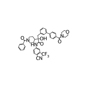 N#Cc1ccc(NC(=O)C(O)(Cc2cccc(-c3ccc(C(=O)N4CCOCC4)cc3)c2)C2CCN(C(=O)c3ccccc3)CC2)cc1C(F)(F)F